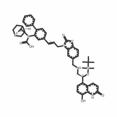 CC(C)(C)[Si](C)(C)O[C@H](CNCc1ccc2oc(=O)n(C/C=C/c3ccc(-c4ccccc4)c(N(C(=O)O)[C@H]4CN5CCC4CC5)c3)c2c1)c1ccc(O)c2[nH]c(=O)ccc12